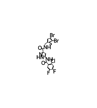 O=C(NCc1cc(Br)c(Br)s1)c1cc(NC(=O)c2cc(F)c(F)cc2Cl)[nH]n1